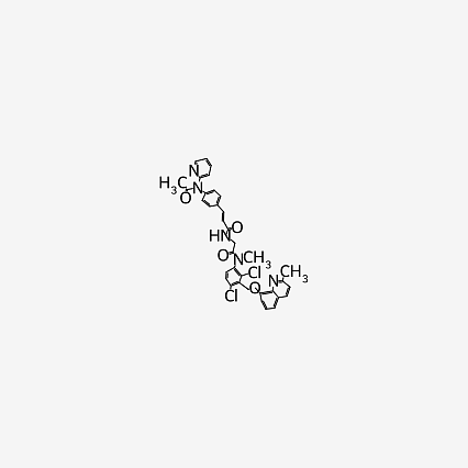 CC(=O)N(c1ccc(C=CC(=O)NCC(=O)N(C)c2ccc(Cl)c(COc3cccc4ccc(C)nc34)c2Cl)cc1)c1ccccn1